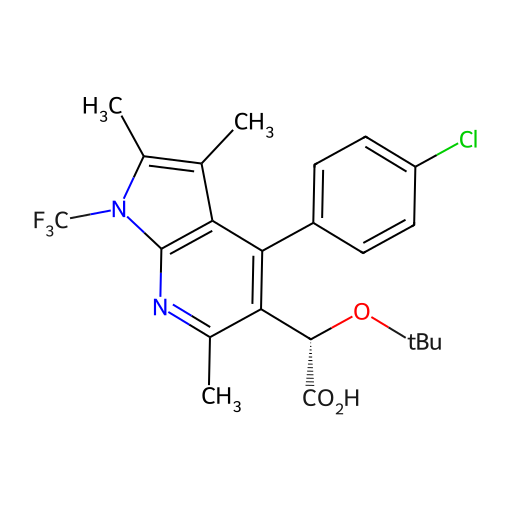 Cc1nc2c(c(C)c(C)n2C(F)(F)F)c(-c2ccc(Cl)cc2)c1[C@H](OC(C)(C)C)C(=O)O